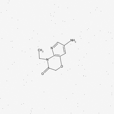 CCN1C(=O)COc2cc(N)cnc21